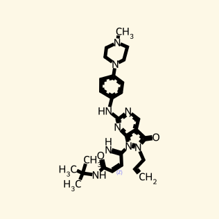 C=CCn1c(=O)c2cnc(Nc3ccc(N4CCN(C)CC4)cc3)nc2n1C(=N)/C=C\C(=O)NC(C)(C)C